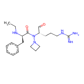 CCN[C@H](Cc1ccccc1)C(=O)N([C@H](C=O)CCCNC(=N)N)N1CCC1